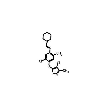 Cc1cc(Oc2snc(C)c2Cl)c(Cl)cc1N=CN1CCCCC1